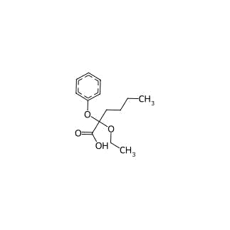 CCCCC(OCC)(Oc1ccccc1)C(=O)O